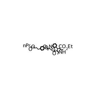 CCCC(=O)OCCCc1ccc(OCCCOC(=O)C2=C(C)NC(C)=C(C(=O)OCC)C2c2cccc([N+](=O)[O-])c2)cc1